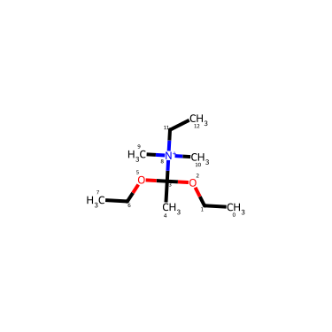 CCOC(C)(OCC)[N+](C)(C)CC